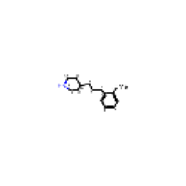 COc1ccccc1CCCC1CCNCC1